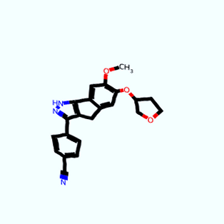 COc1cc2c(cc1OC1CCOC1)Cc1c(-c3ccc(C#N)cc3)n[nH]c1-2